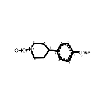 COc1ccc(C2CCN(C=O)CC2)cc1